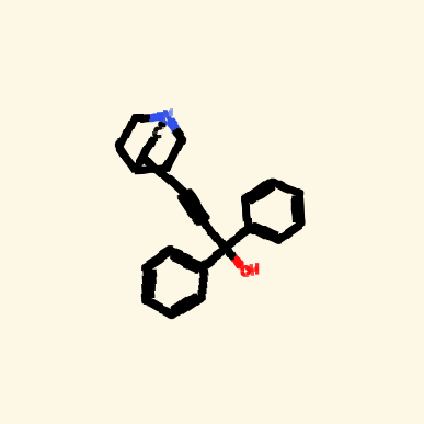 OC(C#CC1CN2CCC1CC2)(c1ccccc1)c1ccccc1